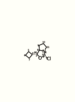 ClP1O[C@H](C2CCC2)C2CCCN21